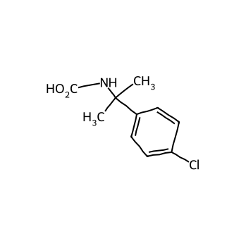 CC(C)(NC(=O)O)c1ccc(Cl)cc1